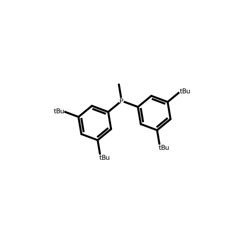 CP(c1cc(C(C)(C)C)cc(C(C)(C)C)c1)c1cc(C(C)(C)C)cc(C(C)(C)C)c1